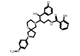 O=C(NCCC(C(O)c1cccc(Cl)c1)N1CCOC2(CCN(c3ccc(OC(F)(F)F)cc3)C2)C1)c1ccccc1O